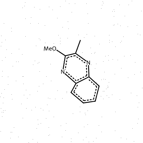 COc1nc2ccccc2nc1C